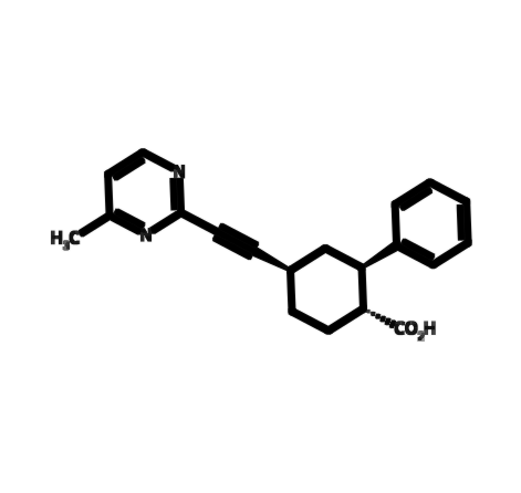 Cc1ccnc(C#C[C@@H]2CC[C@@H](C(=O)O)[C@H](c3ccccc3)C2)n1